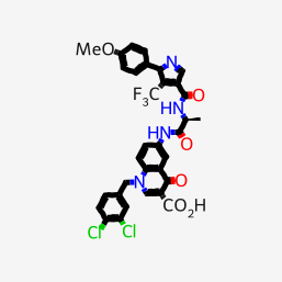 COc1ccc(C2N=CC(C(=O)N[C@@H](C)C(=O)Nc3ccc4c(c3)c(=O)c(C(=O)O)cn4Cc3ccc(Cl)c(Cl)c3)=C2C(F)(F)F)cc1